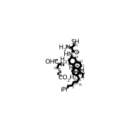 CC(C)CCC[C@@H](C)[C@H]1CC[C@H]2[C@@H]3CC=C4CC(NC(=O)C(N)CS)CC[C@]4(C)[C@H]3CC[C@]12C.NC(C=O)CSCC(=O)O